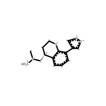 CN(C[C@@H]1CCOc2c(-c3cnsc3)cccc21)C(=O)O